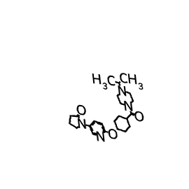 CC(C)N1CCN(C(=O)C2CCC(Oc3ccc(N4CCCC4=O)cn3)CC2)CC1